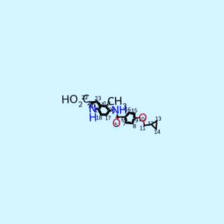 Cc1c(NC(=O)c2ccc(OCC3CC3)cc2)ccc2[nH]c(C(=O)O)cc12